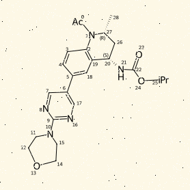 CC(=O)N1c2ccc(-c3cnc(N4CCOCC4)nc3)cc2[C@@H](NC(=O)OC(C)C)C[C@H]1C